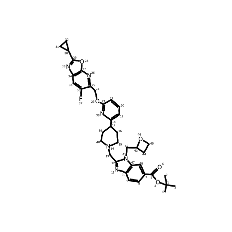 CC(C)(C)OC(=O)c1ccc2nc(CN3CCC(c4cccc(OCc5nc6oc(C7CC7)nc6cc5F)n4)CC3)n(CC3CCO3)c2c1